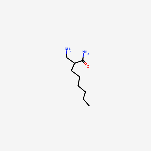 CCCCCCC(CN)C(N)=O